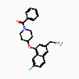 O=C(O)Cc1cc(OC2CCN(C(=O)c3ccccc3)CC2)c2cc(F)ccc2c1